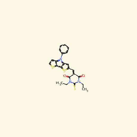 CCN1C(=O)C(=Cc2cc3c(s2)c2sccc2n3-c2ccccc2)C(=O)N(CC)C1=S